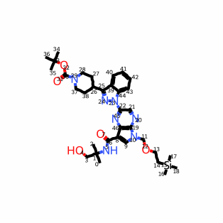 CC(C)(CO)NC(=O)c1cn(COCC[Si](C)(C)C)c2ncc(-n3nc(C4CCN(C(=O)OC(C)(C)C)CC4)c4ccccc43)nc12